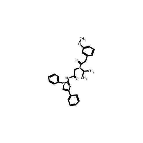 COc1cccc(CC(=O)N(CC(=O)Nc2nc(-c3ccccc3)cn2-c2ccccc2)C(C)C)c1